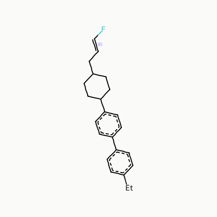 CCc1ccc(-c2ccc(C3CCC(C/C=C/F)CC3)cc2)cc1